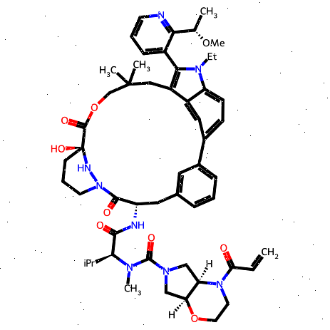 C=CC(=O)N1CCO[C@H]2CN(C(=O)N(C)[C@H](C(=O)N[C@H]3Cc4cccc(c4)-c4ccc5c(c4)c(c(-c4cccnc4[C@H](C)OC)n5CC)CC(C)(C)COC(=O)[C@@]4(O)CCCN(N4)C3=O)C(C)C)C[C@H]21